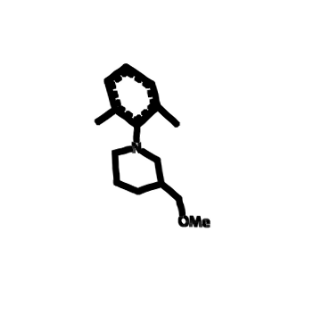 COCC1CCCN(c2c(C)cccc2C)C1